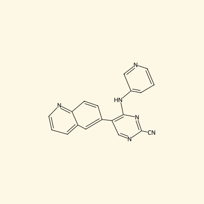 N#Cc1ncc(-c2ccc3ncccc3c2)c(Nc2cccnc2)n1